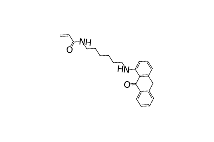 C=CC(=O)NCCCCCCNc1cccc2c1C(=O)c1ccccc1C2